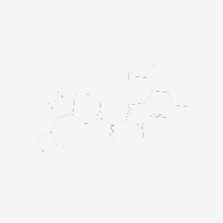 O=C(c1cc2c(C(F)F)cc(F)cc2[nH]1)N1CCc2n[nH]c(C3CCC3)c2C1